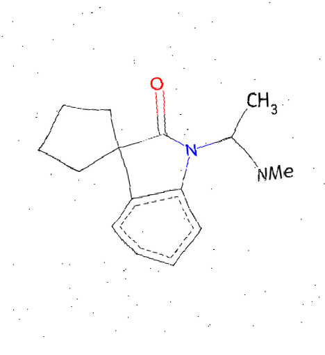 CNC(C)N1C(=O)C2(CCCC2)c2ccccc21